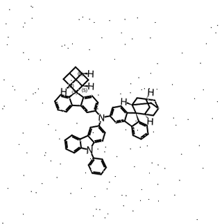 c1ccc(-n2c3ccccc3c3cc(N(c4ccc5c(c4)-c4ccccc4[C@]54[C@@H]5CC6C[C@@H]7C[C@H]4C675)c4ccc5c(c4)-c4ccccc4[C@]54[C@H]5CC6C[C@H](C5)C[C@H]4C6)ccc32)cc1